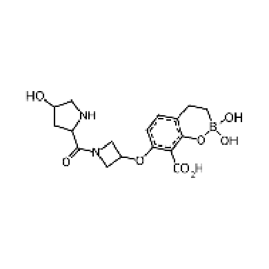 O=C(O)c1c(OC2CN(C(=O)C3CC(O)CN3)C2)ccc2c1O[B-](O)(O)CC2